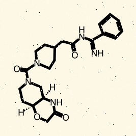 N=C(NC(=O)CC1CCN(C(=O)N2CC[C@@H]3OCC(=O)N[C@@H]3C2)CC1)c1ccccc1